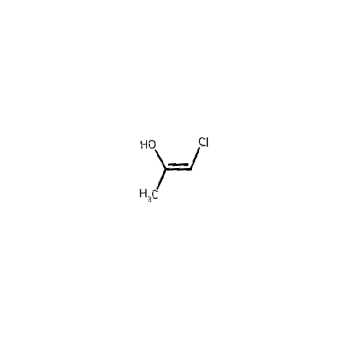 CC(O)=CCl